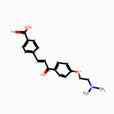 CN(C)CCOc1ccc(C(=O)C=Cc2ccc(C(=O)O)cc2)cc1